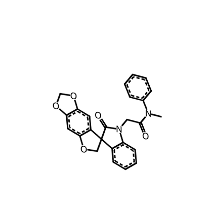 CN(C(=O)CN1C(=O)C2(COc3cc4c(cc32)OCO4)c2ccccc21)c1ccccc1